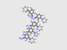 Cc1cc(C)c(N2CCCCC2)c(C)c1N.Cc1cc(C)c(N2CCCCC2)cc1N.Cc1ccc(N)c(C)c1N1CCCCC1.Cc1ccc(N2CCCC2)c(C)c1N.Cc1ccc(N2CCCCC2)c(C)c1N